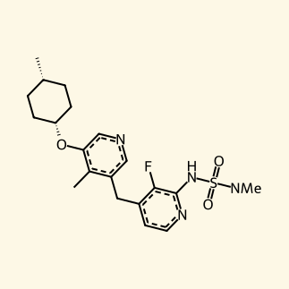 CNS(=O)(=O)Nc1nccc(Cc2cncc(O[C@H]3CC[C@@H](C)CC3)c2C)c1F